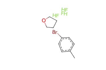 C1CCOC1.Cc1ccc(Br)cc1.F.F.F